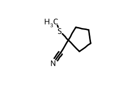 CSC1(C#N)CCCC1